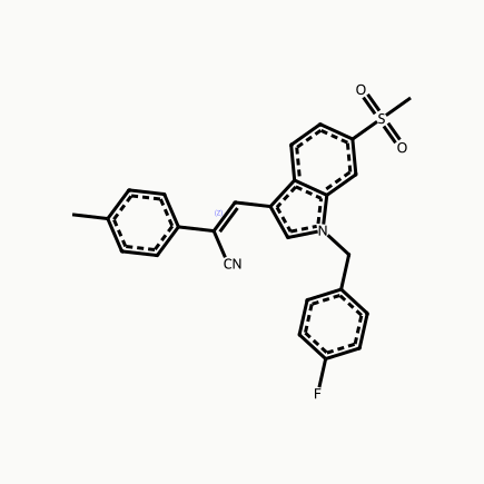 Cc1ccc(/C(C#N)=C/c2cn(Cc3ccc(F)cc3)c3cc(S(C)(=O)=O)ccc23)cc1